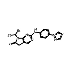 CCC(CC)N1C(=O)Cc2cnc(Nc3ccc(-n4cncn4)cc3)nc21